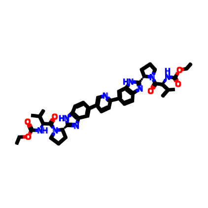 CCOC(=O)N[C@H](C(=O)N1CCC[C@H]1c1nc2cc(-c3ccc(-c4ccc5nc([C@@H]6CCCN6C(=O)[C@@H](NC(=O)OCC)C(C)C)[nH]c5c4)nc3)ccc2[nH]1)C(C)C